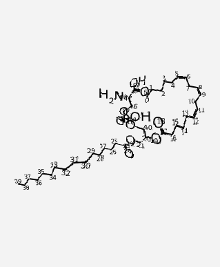 CCCCC/C=C\C/C=C\C/C=C\CCCCC(=O)O[C@H](COC(=O)CCCCCCCCCCCCCCC)COP(=O)(O)OC[C@H](N)C(=O)O